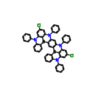 Clc1cc2c3c(c1)N(c1ccccc1)c1cc4c(cc1B3c1ccccc1N2c1ccccc1)B1c2ccccc2N(c2ccccc2)c2cc(Cl)cc(c21)N4c1ccccc1